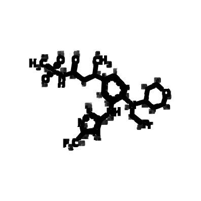 CC(C)CN(c1ccc(C(C)CC(=O)NS(C)(=O)=O)cc1Nc1nc(C(F)(F)F)ns1)C1CCOCC1